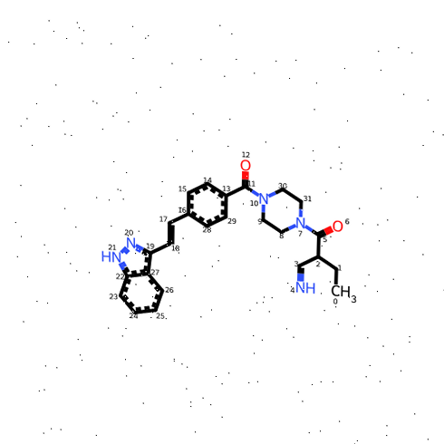 CCC(C=N)C(=O)N1CCN(C(=O)c2ccc(C=Cc3n[nH]c4ccccc34)cc2)CC1